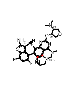 C[C@H](N1C=CN=CC1)N(C)c1nc(O[C@H]2COC[C@@H]2N(C)C)nc2c(F)c(-c3c(F)cc(F)c4sc(N)c(C#N)c34)c(Cl)cc12